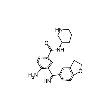 N=C(c1ccc2c(c1)CCO2)c1cc(C(=O)N[C@@H]2CCCNC2)ccc1N